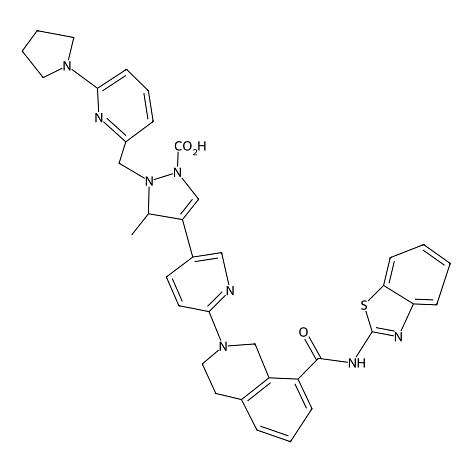 CC1C(c2ccc(N3CCc4cccc(C(=O)Nc5nc6ccccc6s5)c4C3)nc2)=CN(C(=O)O)N1Cc1cccc(N2CCCC2)n1